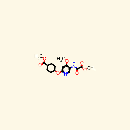 COC(=O)C(=O)Nc1cnc(OC2CCC(C(=O)OC)CC2)cc1OC